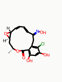 C[C@@H]1C[C@H]2O[C@@H]2/C=C\C=C\C(=NO)Cc2c(Cl)c(O)cc(O)c2C(=O)O1